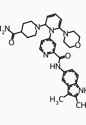 Cc1[nH]c2ccc(NC(=O)c3cc(N4C(N5CCOCC5)=CC=CC4N4CCC(C(N)=O)CC4)ccn3)cc2c1C